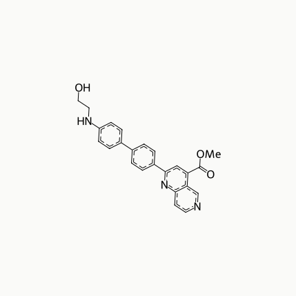 COC(=O)c1cc(-c2ccc(-c3ccc(NCCO)cc3)cc2)nc2ccncc12